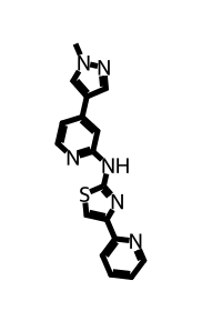 Cn1cc(-c2ccnc(Nc3nc(-c4ccccn4)cs3)c2)cn1